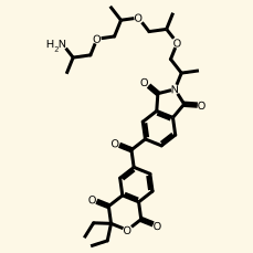 CCC1(CC)OC(=O)c2ccc(C(=O)c3ccc4c(c3)C(=O)N(C(C)COC(C)COC(C)COCC(C)N)C4=O)cc2C1=O